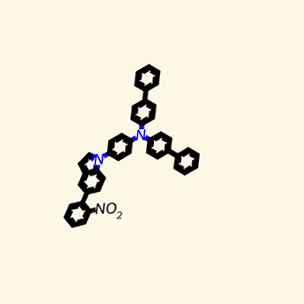 O=[N+]([O-])c1ccccc1-c1ccc2c(ccn2-c2ccc(N(c3ccc(-c4ccccc4)cc3)c3ccc(-c4ccccc4)cc3)cc2)c1